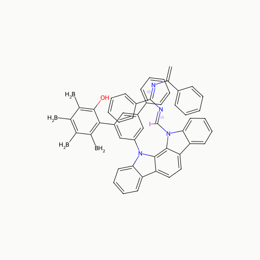 Bc1c(B)c(B)c(-c2cc(-c3ccccc3)cc(-n3c4ccccc4c4ccc5c6ccccc6n(/C(I)=N/C(=N\C(=C)c6ccccc6)c6ccccc6)c5c43)c2)c(O)c1B